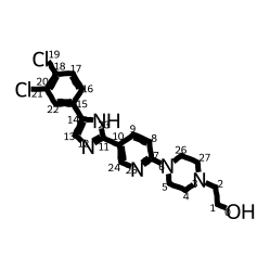 OCCN1CCN(c2ccc(-c3ncc(-c4ccc(Cl)c(Cl)c4)[nH]3)cn2)CC1